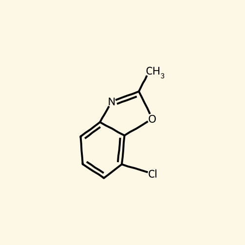 Cc1nc2cccc(Cl)c2o1